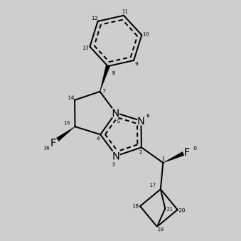 F[C@H](c1nc2n(n1)[C@H](c1ccccc1)C[C@@H]2F)C12CC(C1)C2